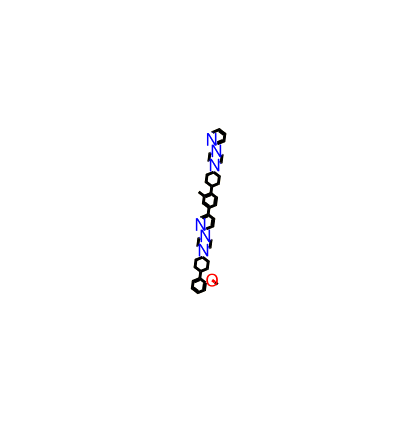 COc1ccccc1C1CCC(N2CCN(c3ccc(-c4ccc(C5CCC(N6CCN(c7ccccn7)CC6)CC5)c(C)c4)cn3)CC2)CC1